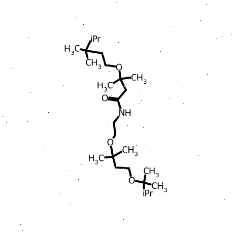 CC(C)C(C)(C)CCOC(C)(C)CC(=O)NCCOC(C)(C)CCOC(C)(C)C(C)C